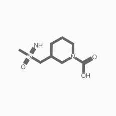 CS(=N)(=O)CC1CCCN(C(=O)O)C1